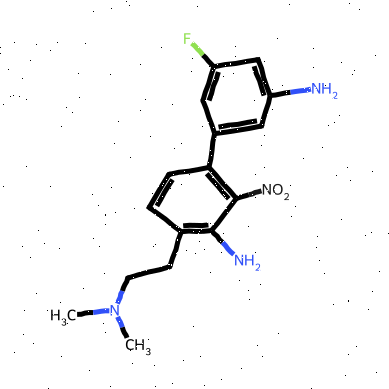 CN(C)CCc1ccc(-c2cc(N)cc(F)c2)c([N+](=O)[O-])c1N